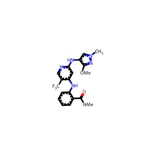 CNC(=O)c1ccccc1Nc1cc(Nc2cn(C)nc2OC)ncc1C(F)(F)F